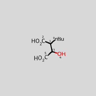 CCCCC(C(=O)O)C(O)C(=O)O